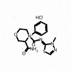 Cl.Cn1ncsc1=NC(=O)[N+]1(c2ccccc2)CCOCC1C(N)=O